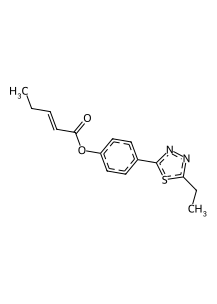 CC/C=C/C(=O)Oc1ccc(-c2nnc(CC)s2)cc1